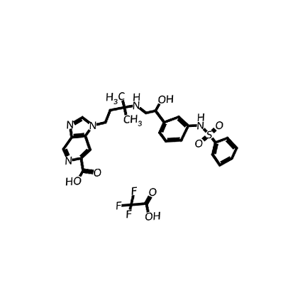 CC(C)(CCn1cnc2cnc(C(=O)O)cc21)NCC(O)c1cccc(NS(=O)(=O)c2ccccc2)c1.O=C(O)C(F)(F)F